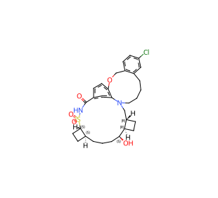 O=C1NS(=O)(=O)[C@H]2CC[C@@H]2CCC[C@H](O)[C@@H]2CC[C@H]2CN2CCCCc3cc(Cl)ccc3COc3ccc1cc32